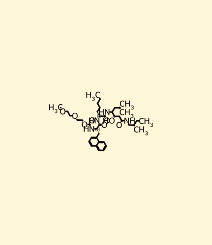 CCCCC[C@H](NC(=O)[C@H](Cc1cccc2ccccc12)NC(=O)OCCOCCOC)C(=O)NC(CC(C)C)C(O)CC(=O)NCC(C)CC